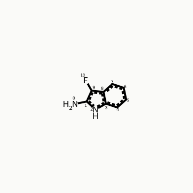 Nc1[nH]c2ccccc2c1F